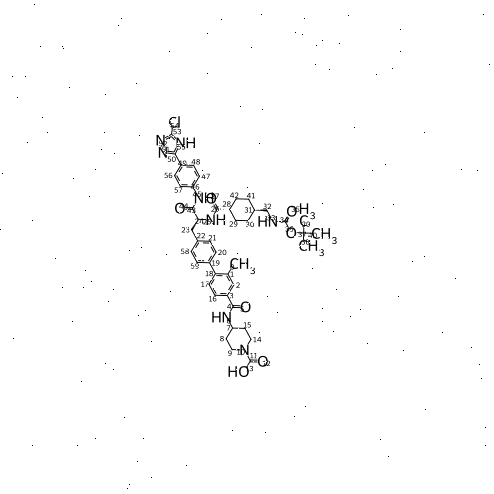 Cc1cc(C(=O)NC2CCN(C(=O)O)CC2)ccc1-c1ccc(C[C@H](NC(=O)[C@H]2CC[C@H](CNC(=O)OC(C)(C)C)CC2)C(=O)Nc2ccc(-c3nnc(Cl)[nH]3)cc2)cc1